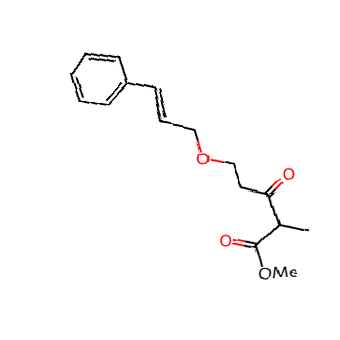 COC(=O)C(C)C(=O)CCOC/C=C/c1ccccc1